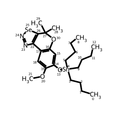 CCC[CH2][Sn]([CH2]CCC)([CH2]CCC)[O]c1cc2c(cc1OC)-c1nn[se]c1C(C)(C)O2